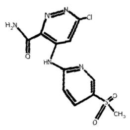 CS(=O)(=O)c1ccc(Nc2cc(Cl)nnc2C(N)=O)nc1